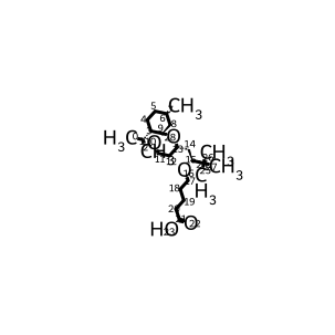 CC(C)[C@@H]1CC[C@@H](C)C[C@@]12OCC[C@@H](C[C@H](OCCCCC(=O)O)C(C)(C)C)O2